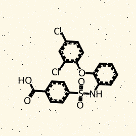 O=C(O)c1ccc(S(=O)(=O)Nc2ccccc2Oc2ccc(Cl)cc2Cl)cc1